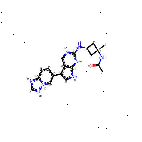 CC(=O)N[C@]1(C)C[C@@H](Nc2ncc3c(-c4ccc5ncnn5c4)c[nH]c3n2)C1